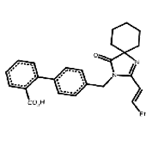 CC/C=C/C1=NC2(CCCCC2)C(=O)N1Cc1ccc(-c2ccccc2C(=O)O)cc1